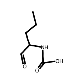 CCCC(C=O)NC(=O)O